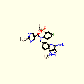 Cn1ncc2c(N)nc3cc(CN(C(=O)c4cnc(C(F)(F)F)nc4)c4ccc(F)cc4S(C)(=O)=O)ccc3c21